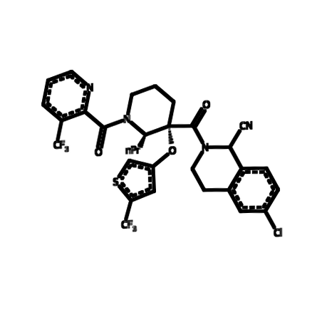 CCC[C@H]1N(C(=O)c2ncccc2C(F)(F)F)CCC[C@@]1(Oc1csc(C(F)(F)F)c1)C(=O)N1CCc2cc(Cl)ccc2C1C#N